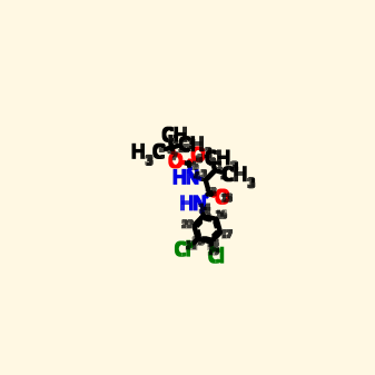 CC(C)[C@H](NC(=O)OC(C)(C)C)C(=O)Nc1ccc(Cl)c(Cl)c1